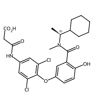 C[C@@H](C1CCCCC1)N(C)C(=O)c1cc(Oc2c(Cl)cc(NC(=O)CC(=O)O)cc2Cl)ccc1O